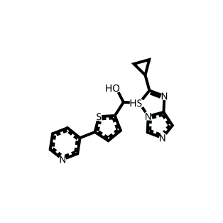 OC(c1ccc(-c2cccnc2)s1)[SH]1C(C2CC2)=Nc2cncn21